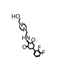 O=C1CC(c2cccc(F)c2F)CC(=O)C1=CNCCN1CCN(CCO)CC1